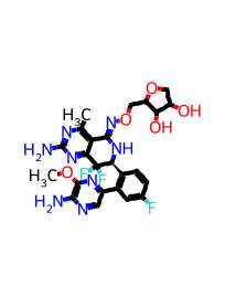 COc1nc(-c2cc(F)ccc2[C@@H]2N/C(=N\OCC3OCC(O)C3O)c3c(C)nc(N)nc3C2(F)F)cnc1N